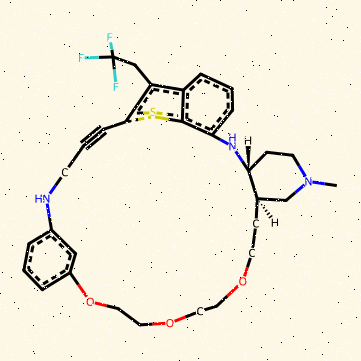 CN1CC[C@H]2Nc3cccc4c(CC(F)(F)F)c(sc34)C#CCNc3cccc(c3)OCCOCCOCC[C@@H]2C1